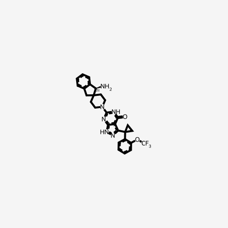 N[C@@H]1c2ccccc2CC12CCN(c1nc3[nH]nc(C4(c5ccccc5OC(F)(F)F)CC4)c3c(=O)[nH]1)CC2